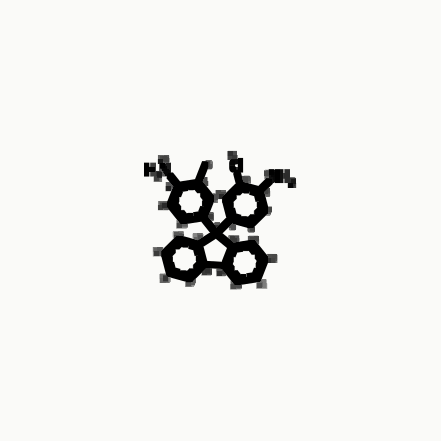 Cc1cc(C2(c3ccc(N)c(Cl)c3)c3ccccc3-c3ccccc32)ccc1N